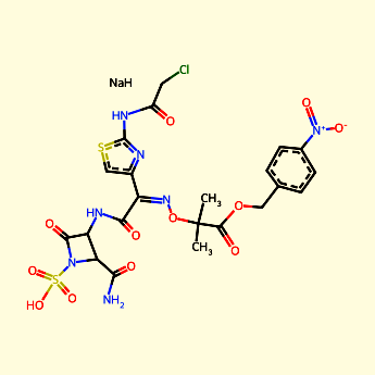 CC(C)(O/N=C(\C(=O)NC1C(=O)N(S(=O)(=O)O)C1C(N)=O)c1csc(NC(=O)CCl)n1)C(=O)OCc1ccc([N+](=O)[O-])cc1.[NaH]